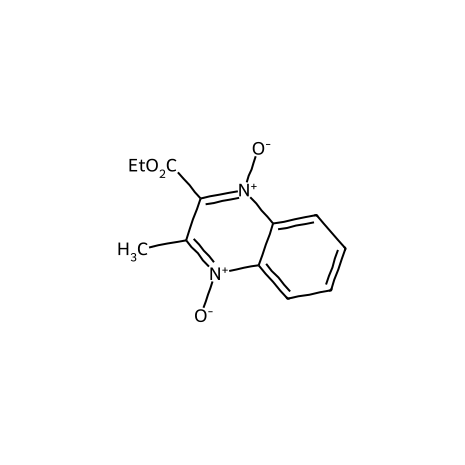 CCOC(=O)c1c(C)[n+]([O-])c2ccccc2[n+]1[O-]